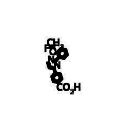 CC(F)(F)Oc1ccccc1-c1nccc(-c2ccc(C(=O)O)cc2)n1